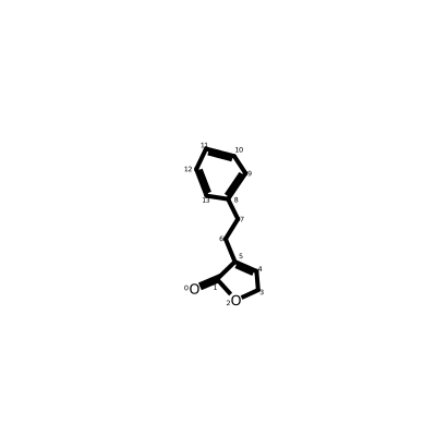 O=C1OCC=C1CCc1ccccc1